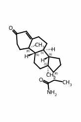 CC(C(N)=O)[C@H]1CC[C@H]2[C@@H]3CCC4=CC(=O)CC[C@]4(C)[C@H]3CC[C@]12C